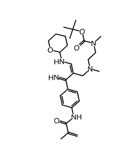 C=C(C)C(=O)Nc1ccc(C(=N)/C(=C\NC2CCCCO2)CN(C)CCN(C)C(=O)OC(C)(C)C)cc1